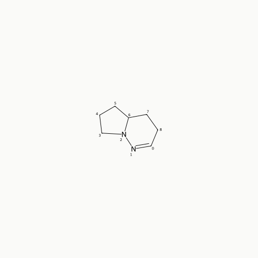 C1=NN2CCCC2CC1